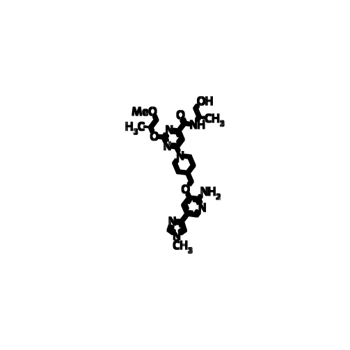 COC[C@@H](C)Oc1nc(C(=O)N[C@H](C)CO)cc(N2CCC(COc3cc(-c4cn(C)cn4)cnc3N)CC2)n1